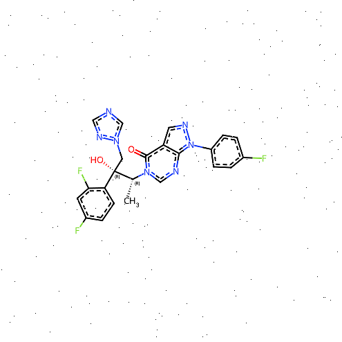 C[C@@H](n1cnc2c(cnn2-c2ccc(F)cc2)c1=O)[C@](O)(Cn1cncn1)c1ccc(F)cc1F